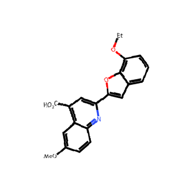 CCOc1cccc2cc(-c3cc(C(=O)O)c4cc(OC)ccc4n3)oc12